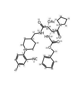 [C-]#[N+]c1cc(F)ccc1N1CCC(CNC(=O)[C@H](OC(C)=O)[C@@H](NC(=O)OCc2ccccc2)C(=O)N2CCCC2)CC1